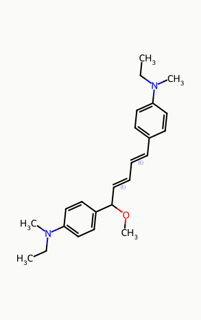 CCN(C)c1ccc(/C=C/C=C/C(OC)c2ccc(N(C)CC)cc2)cc1